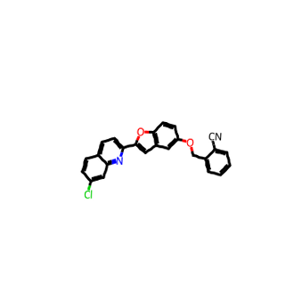 N#Cc1ccccc1COc1ccc2oc(-c3ccc4ccc(Cl)cc4n3)cc2c1